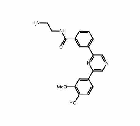 COc1cc(-c2cncc(-c3cccc(C(=O)NCCN)c3)n2)ccc1O